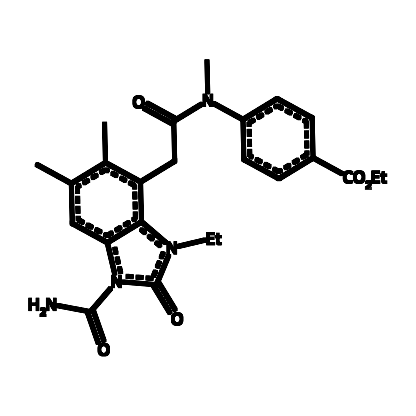 CCOC(=O)c1ccc(N(C)C(=O)Cc2c(C)c(C)cc3c2n(CC)c(=O)n3C(N)=O)cc1